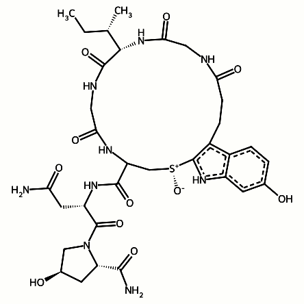 CC[C@H](C)[C@@H]1NC(=O)CNC(=O)CCc2c([nH]c3cc(O)ccc23)[S@+]([O-])CC(C(=O)N[C@@H](CC(N)=O)C(=O)N2C[C@H](O)C[C@H]2C(N)=O)NC(=O)CNC1=O